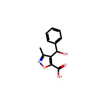 Cc1noc(C(=O)O)c1C(O)c1ccccc1